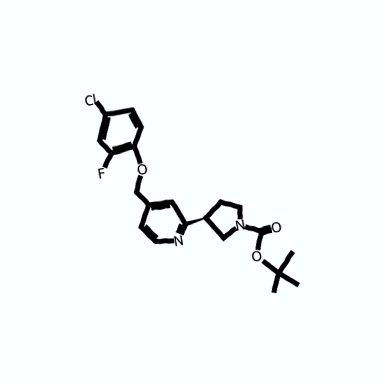 CC(C)(C)OC(=O)N1CC[C@H](c2cc(COc3ccc(Cl)cc3F)ccn2)C1